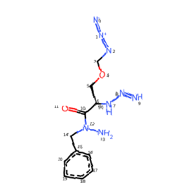 [N-]=[N+]=NCOC[C@@H](NN=N)C(=O)N(N)Cc1ccccc1